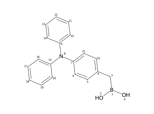 OB(O)Cc1ccc(N(c2ccccc2)c2ccccc2)cc1